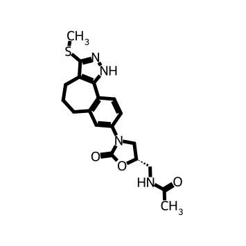 CSc1n[nH]c2c1CCCc1cc(N3C[C@H](CNC(C)=O)OC3=O)ccc1-2